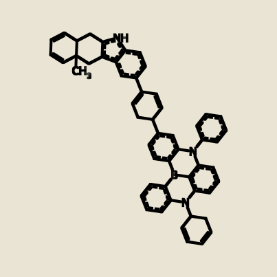 CC12C=CC=CC1Cc1[nH]c3ccc(C4=CCC(c5ccc6c(c5)N(c5ccccc5)c5cccc7c5B6c5ccccc5N7C5C=CC=CC5)C=C4)cc3c1C2